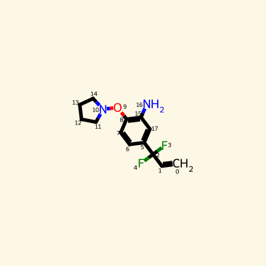 C=CC(F)(F)c1ccc(ON2CCCC2)c(N)c1